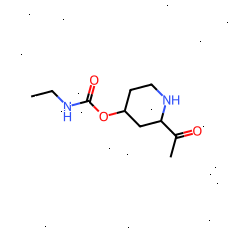 CCNC(=O)OC1CCNC(C(C)=O)C1